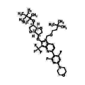 CC(C)(C)[Si](C)(C)O[C@@H]1CO[C@H]2[C@@H]1OC[C@H]2Oc1c(C(F)(F)F)c2nc(-c3c(F)cc(N4CCOCC4)cc3F)ccc2n1COCC[Si](C)(C)C